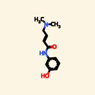 CN(C)CC=CC(=O)Nc1cccc(O)c1